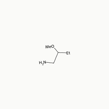 [CH2]CC(CN)OC